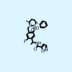 CC(NC(=O)c1ccno1)c1cc(F)c(CN2[C@@H](C)CC[C@H](c3ccccc3)S2(=O)=O)cc1F